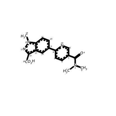 CN(C)C(=O)c1ccc(-c2ccc3c(c2)c(C(=O)O)nn3C)nc1